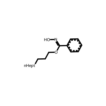 CCCCCCCCCCOC(=NO)c1ccccc1